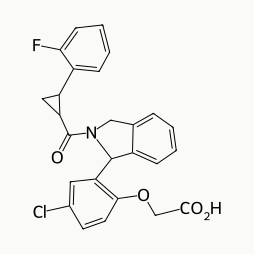 O=C(O)COc1ccc(Cl)cc1C1c2ccccc2CN1C(=O)C1CC1c1ccccc1F